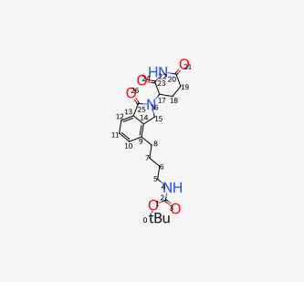 CC(C)(C)OC(=O)NCCCCc1cccc2c1CN(C1CCC(=O)NC1=O)C2=O